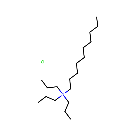 CCCCCCCCCC[N+](CCC)(CCC)CCC.[Cl-]